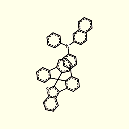 c1ccc(N(c2ccc(-c3cccc4c3C3(c5ccccc5-c5ccccc53)c3sc5ccccc5c3-4)cc2)c2ccc3ccccc3c2)cc1